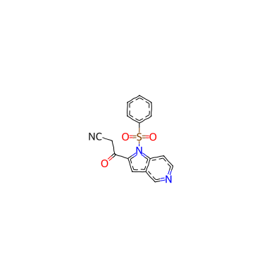 N#CCC(=O)c1cc2cnccc2n1S(=O)(=O)c1ccccc1